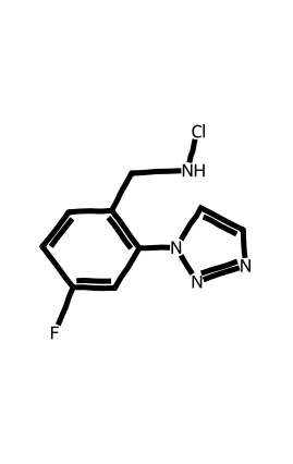 Fc1ccc(CNCl)c(-n2ccnn2)c1